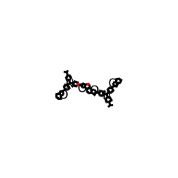 CC(C)c1ccc(N(c2ccc(-c3cc4ccccc4o3)cc2)c2ccc(-c3cc4ccc5c(ccc6cc(-c7ccc(N(c8ccc(-c9cc%10ccccc%10o9)cc8)c8ccc(C(C)C)cc8)cc7)oc65)c4o3)cc2)cc1